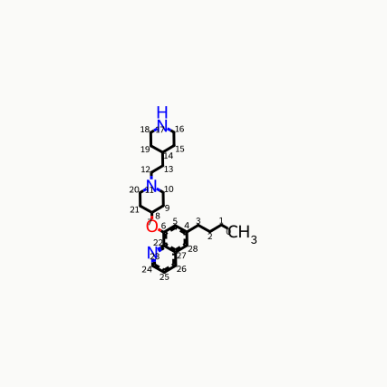 CCCCc1cc(OC2CCN(CCC3CCNCC3)CC2)c2ncccc2c1